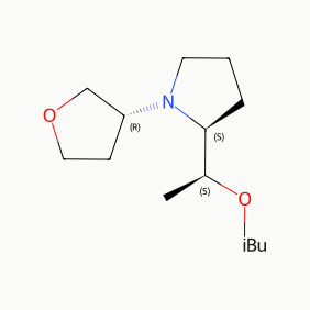 CCC(C)O[C@@H](C)[C@@H]1CCCN1[C@@H]1CCOC1